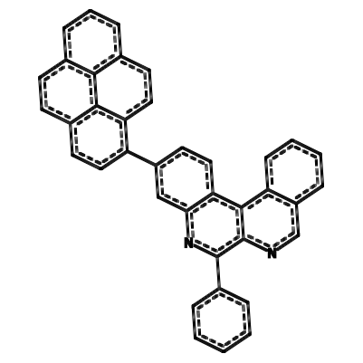 c1ccc(-c2nc3cc(-c4ccc5ccc6cccc7ccc4c5c67)ccc3c3c2ncc2ccccc23)cc1